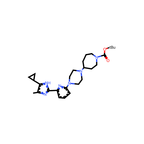 Cc1nc(-c2cccc(N3CCN(C4CCCN(C(=O)OC(C)(C)C)CC4)CC3)n2)[nH]c1C1CC1